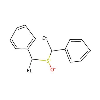 CCC(c1ccccc1)[S+]([O-])C(CC)c1ccccc1